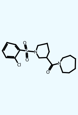 O=C(C1CCCN(S(=O)(=O)c2ccccc2Cl)C1)N1CCCCCC1